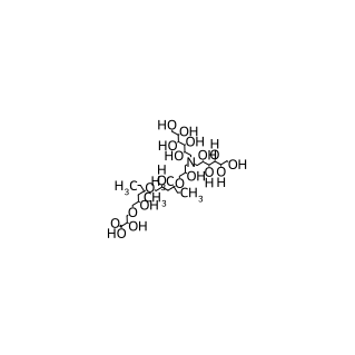 CCC(C)(CC(O)COCC(O)C(=O)O)OCC(O)CC(C)(CC)OCC(O)CN(C[C@H](O)[C@@H](O)[C@H](O)[C@H](O)CO)C[C@H](O)[C@@H](O)[C@H](O)[C@H](O)CO